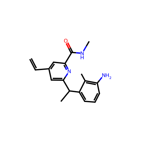 C=Cc1cc(C(=O)NC)nc(C(C)c2cccc(N)c2C)c1